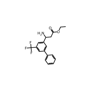 CCOC(=O)CC(N)c1cc(-c2ccccc2)cc(C(F)(F)F)c1